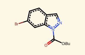 CC(C)COC(=O)n1ncc2ccc(Br)cc21